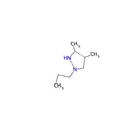 CCCN1CC(C)C(C)N1